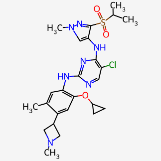 Cc1cc(Nc2ncc(Cl)c(Nc3cn(C)nc3S(=O)(=O)C(C)C)n2)c(OC2CC2)cc1C1CN(C)C1